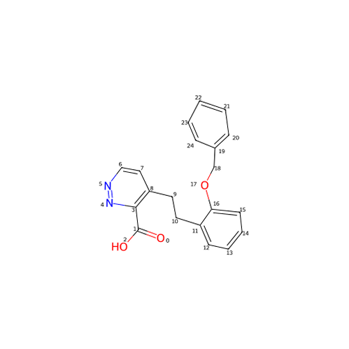 O=C(O)c1nnccc1CCc1ccccc1OCc1ccccc1